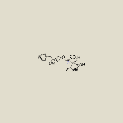 C=CC(CCCC)C(OSO)/C(=C/OC1CN(C(O)Cc2ccncc2)C1)C(=O)O